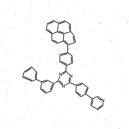 c1ccc(-c2cccc(-c3nc(-c4ccc(-c5cccnc5)cc4)nc(-c4ccc(-c5ccc6ccc7cccc8ccc5c6c78)cc4)n3)c2)cc1